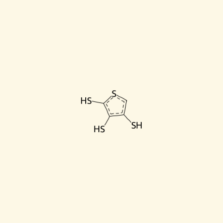 Sc1csc(S)c1S